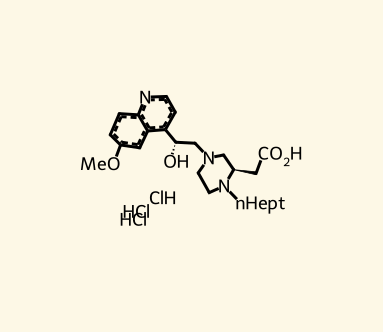 CCCCCCCN1CCN(C[C@H](O)c2ccnc3ccc(OC)cc23)C[C@H]1CC(=O)O.Cl.Cl.Cl